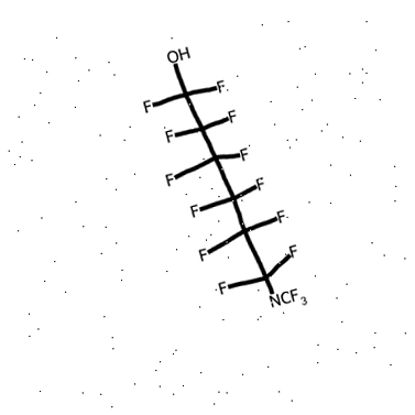 OC(F)(F)C(F)(F)C(F)(F)C(F)(F)C(F)(F)C(F)(F)NC(F)(F)F